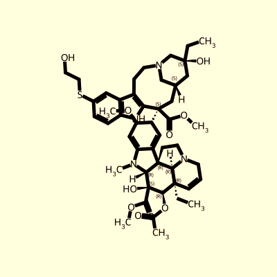 CC[C@]1(O)C[C@H]2CN(CCc3c([nH]c4ccc(SCCO)cc34)[C@@](C(=O)OC)(C3C=C4C(=CC3OC)N(C)[C@H]3[C@@](O)(C(=O)OC)[C@H](OC(C)=O)[C@]5(CC)C=CCN6CC[C@]43[C@@H]65)C2)C1